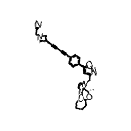 C[C@H](OC1CCCCO1)c1nccn1Cc1cc(-c2ccc(C#CC#CC3CN(CC#N)C3)cc2)on1